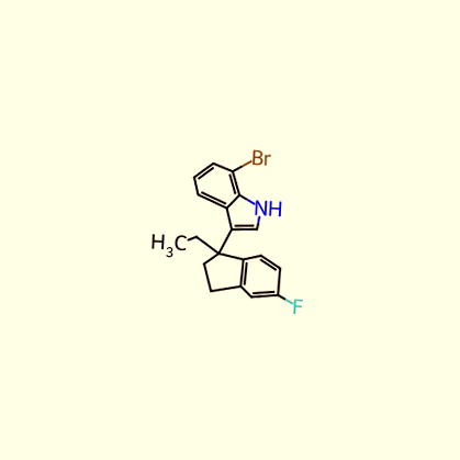 CCC1(c2c[nH]c3c(Br)cccc23)CCc2cc(F)ccc21